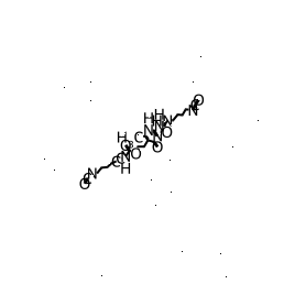 Cc1[nH]c(NC(=O)NCCCCN=C=O)nc(=O)c1CCOC(=O)NCCCCCCN=C=O